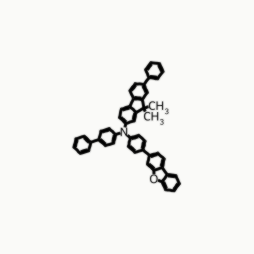 CC1(C)c2cc(-c3ccccc3)ccc2-c2ccc(N(c3ccc(-c4ccccc4)cc3)c3ccc(-c4ccc5c(c4)oc4ccccc45)cc3)cc21